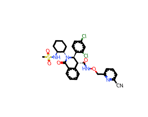 CS(=O)(=O)N[C@H]1CCCC[C@@H]1N1C(=O)c2ccccc2[C@@H](C(=O)NOCc2cccc(C#N)n2)[C@@H]1c1ccc(Cl)cc1Cl